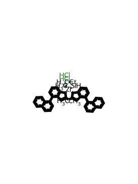 CC1=Cc2c(-c3cccc4ccccc34)cccc2[CH]1[Zr]([CH3])([SiH3])[CH]1C(C)=Cc2c(-c3cccc4ccccc34)cccc21.CCC.Cl.Cl